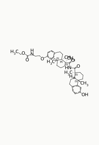 CCOC(=O)NCCOc1ccc2c(c1)[C@@]1(C)CCC[C@](C)(C(=O)NC(=O)[C@@]3(C)CCC[C@]4(C)c5cc(O)ccc5CC[C@@H]34)[C@]1(C)CC2